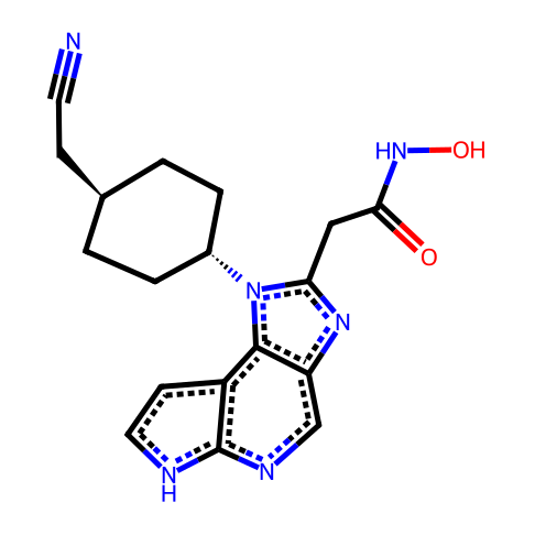 N#CC[C@H]1CC[C@H](n2c(CC(=O)NO)nc3cnc4[nH]ccc4c32)CC1